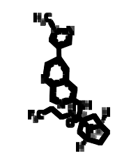 Cn1cc(-c2cnc3cnc(NC(=O)N4[C@@H]5CC[C@H]4C[C@H](NCCC(F)(F)F)C5)cc3c2)cn1